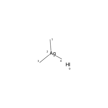 I.[CH3][Ag]([CH3])[CH3]